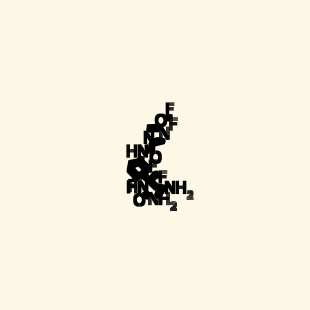 NC(=O)N[C@@](c1cc(NC(=O)c2cnc(OC(F)F)cn2)ccc1F)(C(F)F)[C@H]1C[C@H]1N